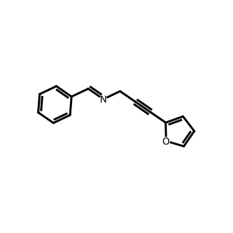 C(#Cc1ccco1)CN=Cc1ccccc1